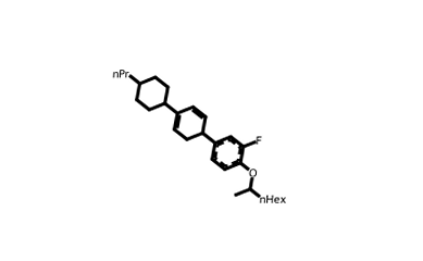 CCCCCCC(C)Oc1ccc(C2C=CC(C3CCC(CCC)CC3)=CC2)cc1F